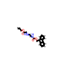 C=CCOC(=O)CNCCNC(=O)OCC1c2ccccc2-c2ccccc21